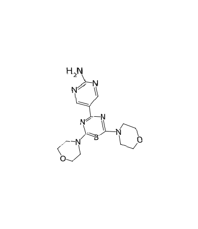 Nc1ncc(-c2nc(N3CCOCC3)bc(N3CCOCC3)n2)cn1